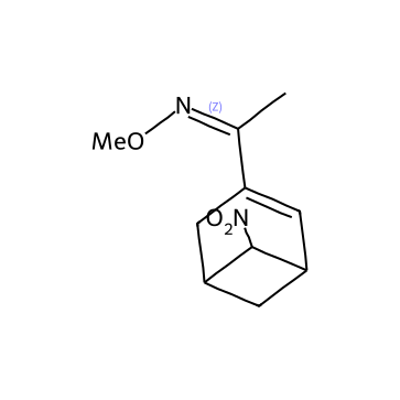 CO/N=C(/C)C1=CC2CC(C1)C2[N+](=O)[O-]